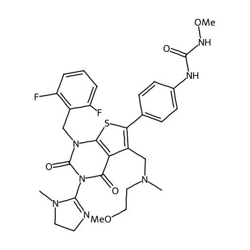 COCCN(C)Cc1c(-c2ccc(NC(=O)NOC)cc2)sc2c1c(=O)n(C1=NCCN1C)c(=O)n2Cc1c(F)cccc1F